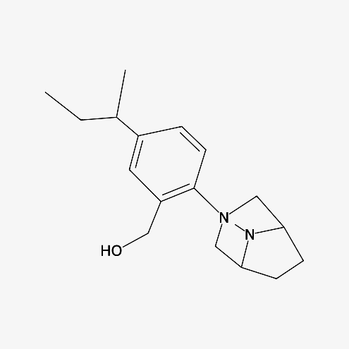 CCC(C)c1ccc(N2CC3CCC(C2)N3C)c(CO)c1